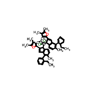 CCc1ccccc1-c1c(C)ccc2c1C=C(c1cc(C)c(C)o1)[CH]2[Zr]([Cl])([Cl])([CH]1C(c2cc(C)c(C)o2)=Cc2c1ccc(C)c2-c1ccccc1CC)=[Si](C)C